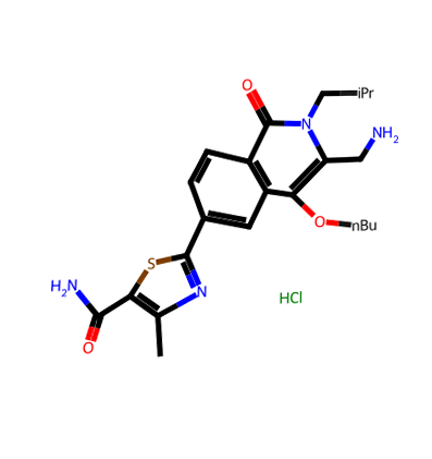 CCCCOc1c(CN)n(CC(C)C)c(=O)c2ccc(-c3nc(C)c(C(N)=O)s3)cc12.Cl